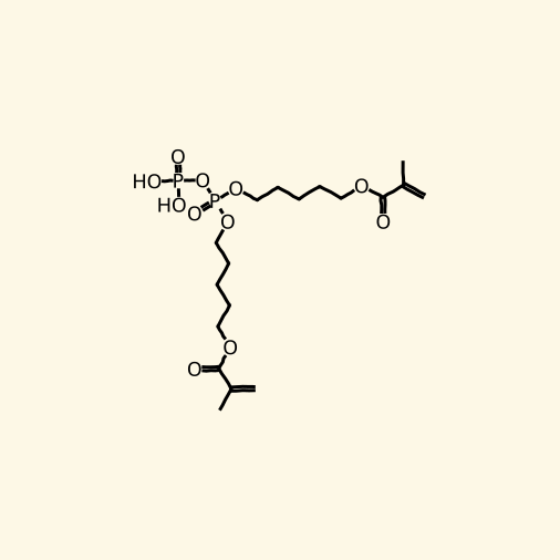 C=C(C)C(=O)OCCCCCOP(=O)(OCCCCCOC(=O)C(=C)C)OP(=O)(O)O